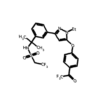 CCn1nc(-c2cccc(C(C)(C)NS(=O)(=O)CC(F)(F)F)c2)cc1Oc1ccc(C(=O)C(F)(F)F)cc1